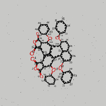 O=c1oc(=O)c2c1c(Oc1ccccc1)c1c3c(Oc4ccccc4)ccc4ccc(Oc5ccccc5)c(c5c(Oc6ccccc6)c6c(=O)oc(=O)c6c2c15)c43